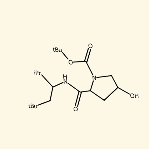 CC(C)C(CC(C)(C)C)NC(=O)C1CC(O)CN1C(=O)OC(C)(C)C